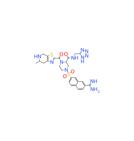 CC1Cc2nc(C(=O)N3CCN(S(=O)(=O)c4ccc5ccc(C(=N)N)cc5c4)CC3C(=O)NCc3nnn[nH]3)sc2CN1